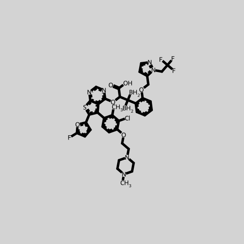 BC(B)(c1ccccc1OCc1ccnn1CC(F)(F)F)C(Oc1ncnc2sc(-c3ccc(F)o3)c(-c3ccc(OCCN4CCN(C)CC4)c(Cl)c3C)c12)C(=O)O